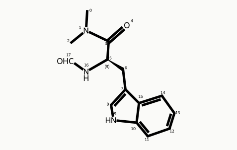 CN(C)C(=O)[C@@H](Cc1c[nH]c2ccccc12)NC=O